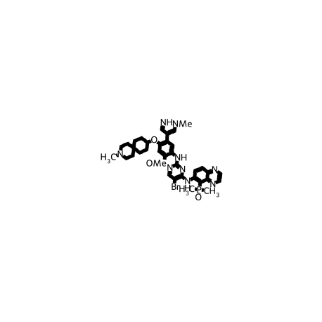 CN/C=C(\C=N)c1cc(Nc2ncc(Br)c(Nc3ccc4nccnc4c3P(C)(C)=O)n2)c(OC)cc1OC1CCC2(CC1)CCN(C)CC2